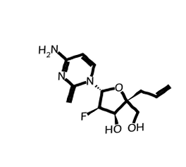 C=CC[C@]1(CO)O[C@@H](N2C=CC(N)=NC2=C)[C@H](F)[C@@H]1O